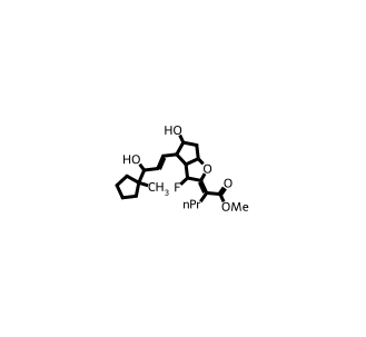 CCCC(C(=O)OC)=C1OC2CC(O)C(C=CC(O)C3(C)CCCC3)C2C1F